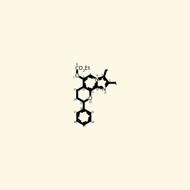 CCOC(=O)Oc1cn2c(C)c(C)nc2c2c1CCC(c1ccccc1)O2